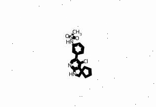 CS(=O)(=O)Nc1cccc(-c2cnc3c(c2Cl)C2(CC=CC2)CN3)c1